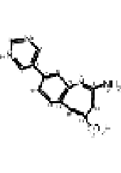 NC1=Nc2cc(-c3cncnc3)ccc2C=C(C(=O)O)C1